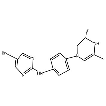 CC1=CN(c2ccc(Nc3ncc(Br)cn3)cc2)C[C@H](C)N1